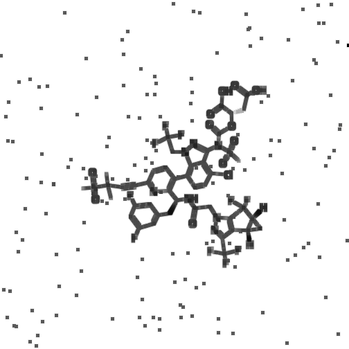 CC(C)(C#Cc1ccc(-c2ccc(Cl)c3c(N(C(=O)O[C@@H](CC(=O)O)C(=O)O)S(C)(=O)=O)nn(CC(F)(F)F)c23)c([C@H](Cc2cc(F)cc(F)c2)NC(=O)Cn2nc(C(F)(F)F)c3c2C(F)(F)[C@@H]2C[C@H]32)n1)S(C)(=O)=O